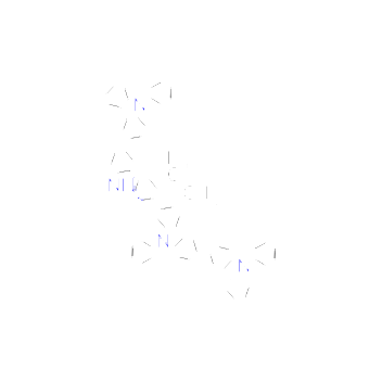 CC1c2cc(-c3cc(-c4ccc5c(c4)c4ccccc4n5-c4ccccc4)ccc3N)ccc2-c2cc3c(cc2C1C)c1cc(-c2ccc4c(c2)C2C=CC=CC2N4c2ccccc2)ccc1n3-c1ccccc1